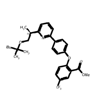 CCC(C)C(C)(C)OC[C@@H](C)c1cccc(-c2ccc(Oc3ccc(C(F)(F)F)cc3C(=O)OC)cc2)n1